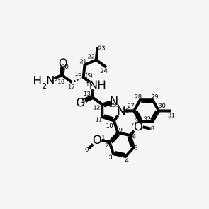 COc1cccc(OC)c1-c1cc(C(=O)N[C@H](CC(N)=O)CC(C)C)nn1-c1ccc(C)cc1